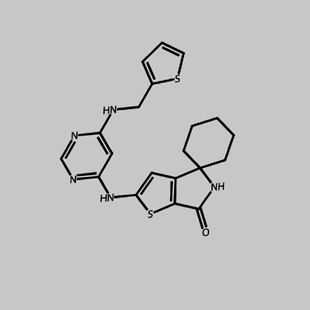 O=C1NC2(CCCCC2)c2cc(Nc3cc(NCc4cccs4)ncn3)sc21